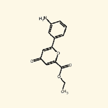 CCOC(=O)c1cc(=O)cc(-c2cccc(N)c2)o1